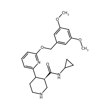 COc1cc(COc2cccc(C3CCNC[C@@H]3C(=O)NC3CC3)n2)cc(OC)c1